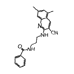 Cc1cc(C)c2cc(C#N)c(NCCCNC(=O)c3ccccc3)nc2c1